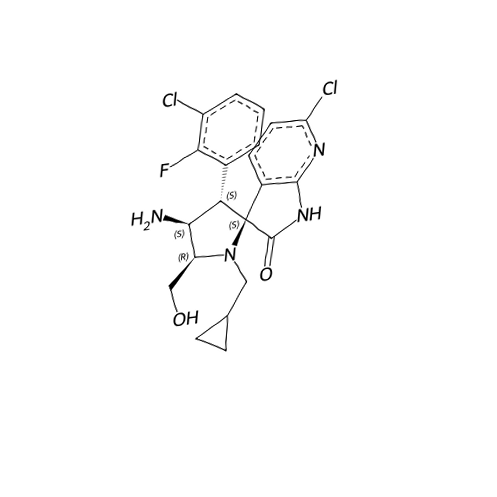 N[C@@H]1[C@H](CO)N(CC2CC2)[C@@]2(C(=O)Nc3nc(Cl)ccc32)[C@H]1c1cccc(Cl)c1F